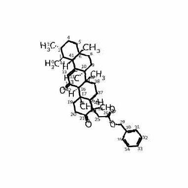 C[C@H]1[C@H](C)CC[C@]2(C)CC[C@]3(C)C(=CC(=O)[C@@H]4[C@@]5(C)CCC(=O)C(C)(CC(=O)OCc6ccccc6)[C@@H]5CC[C@]43C)[C@H]12